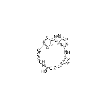 OC1CCCn2cc(cn2)Nc2ncc3nnn(c3n2)-c2ccc(cc2)OCCCN1